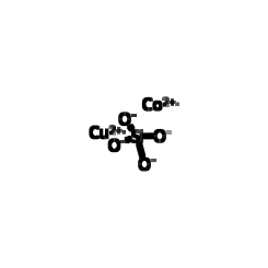 [Co+2].[Cu+2].[O-][Si]([O-])([O-])[O-]